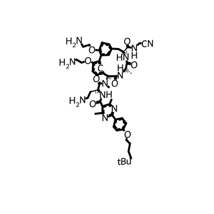 Cc1nc(-c2ccc(OCCCCC(C)(C)C)cc2)nc(C)c1C(=O)N[C@@H](CCN)C(=O)N(C)[C@@H]1C(=O)N[C@@H](C)C(=O)N[C@H](C(=O)NCC#N)Cc2ccc(OCCN)c(c2)-c2cc1ccc2OCCN